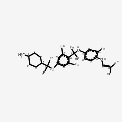 CC1CCC(C(F)(F)Oc2cc(F)c(C(F)(F)Oc3ccc(OC=C(F)F)c(F)c3)c(F)c2)CC1